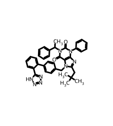 CC(c1ccccc1)n1c(=O)c2c(nc(CC(C)(C)C)n2Cc2ccc(-c3ccccc3-c3nnn[nH]3)cc2)n(-c2ccccc2)c1=O